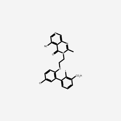 Cc1nc2cncc(C#N)c2c(=O)n1CCOc1ccc(Cl)cc1-c1cccc(C(=O)O)c1I